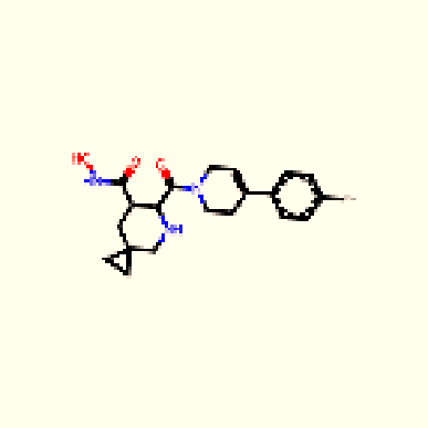 CCc1ccc(C2=CCN(C(=O)C3NCC4(CC4)CC3C(=O)NO)CC2)cc1